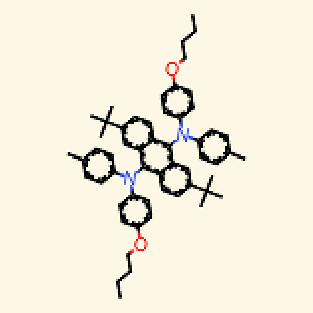 CCCCOc1ccc(N(c2ccc(C)cc2)c2c3ccc(C(C)(C)C)cc3c(N(c3ccc(C)cc3)c3ccc(OCCCC)cc3)c3ccc(C(C)(C)C)cc23)cc1